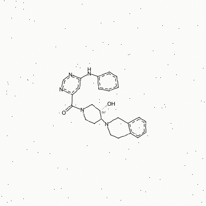 O=C(c1cc(Nc2ccccc2)ncn1)N1CCC(N2CCc3ccccc3C2)[C@@H](O)C1